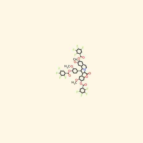 COc1cc(-c2c3c4cc(OC)c(OC(=O)c5cc(F)c(F)c(F)c5F)cc4oc(=O)c3n3ccc4cc(OC(=O)c5cc(F)c(F)c(F)c5F)c(OC)cc4c23)ccc1OC(=O)c1cc(F)c(F)c(F)c1F